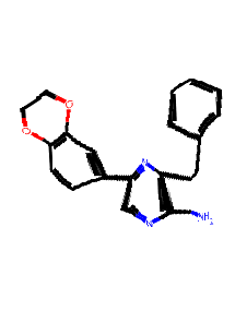 Nc1ncc(-c2ccc3c(c2)OCCO3)nc1Cc1ccccc1